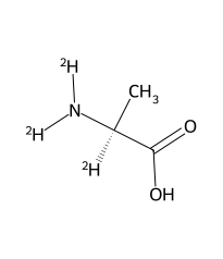 [2H]N([2H])[C@@]([2H])(C)C(=O)O